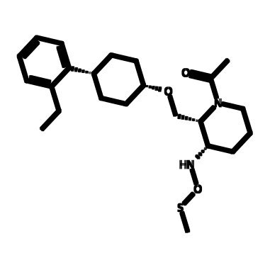 CCc1ccccc1[C@H]1CC[C@@H](OC[C@H]2[C@@H](NOSC)CCCN2C(C)=O)CC1